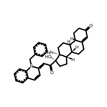 CCC[C@]12CC[C@H]3[C@H](CCC4=CC(=O)CC[C@H]43)[C@@H]1CC[C@@]2(O)C(=O)/C=C1\C=Cc2ccccc2N1Cc1ccccc1